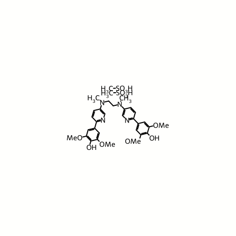 COc1cc(-c2ccc(N(C)CCN(C)c3ccc(-c4cc(OC)c(O)c(OC)c4)nc3)cn2)cc(OC)c1O.CS(=O)(=O)O.CS(=O)(=O)O